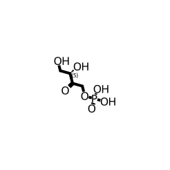 O=C(COP(=O)(O)O)[C@@H](O)CO